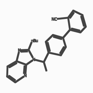 CCCCc1nc2cccnc2n1C(C)c1ccc(-c2ccccc2C#N)cc1